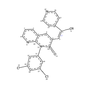 N#C/C(=C/c1cc2cccnc2n(-c2cc(Cl)cc(Cl)c2)c1=O)c1ccncc1